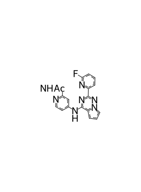 CC(=O)Nc1cc(Nc2nc(-c3cccc(F)n3)nn3cccc23)ccn1